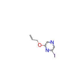 C=CCOc1cncc(I)n1